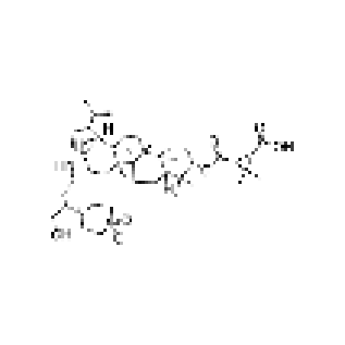 C=C(C)[C@@H]1CC[C@]2(NCCC(CO)N3CCS(=O)(=O)CC3)CC[C@]3(C)[C@H](CC[C@@H]4[C@@]5(C)CC[C@H](OC(=O)[C@H]6[C@@H](C(=O)O)C6(C)C)C(C)(C)[C@@H]5CC[C@]43C)[C@@H]12